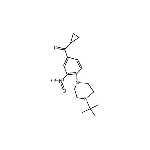 CC(C)(C)N1CCN(c2ccc(C(=O)C3CC3)cc2[N+](=O)[O-])CC1